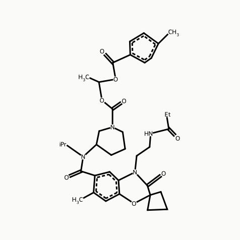 CCC(=O)NCCN1C(=O)C2(CCC2)Oc2cc(C)c(C(=O)N(C(C)C)C3CCCN(C(=O)OC(C)OC(=O)c4ccc(C)cc4)C3)cc21